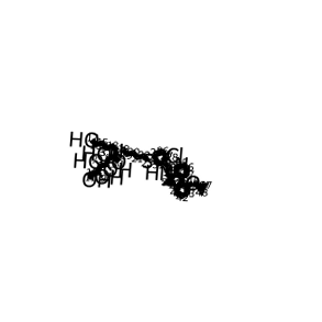 O=C([C@@H](O)[C@@H](O)[C@H](O)[C@@H](O)CO)N(CCCCO)CCCCCSc1ccc(Cl)c(CNC2(c3cnccc3-c3ccccc3OC3CC3)CC2)c1